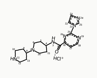 Cl.O=C(NC1CCN(C2CCNCC2)CC1)c1ccnc(-n2ccnc2)n1